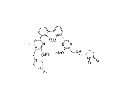 COc1nc(-c2cccc(-c3cccc(-c4cc(C)c(CN5CCN(C(C)=O)CC5)c(OC)n4)c3Cl)c2Cl)cnc1CNC[C@@H]1CCC(=O)N1